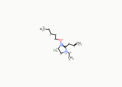 C=CCC1=[N+](OCCCCC)CCN1CC.[Cl-]